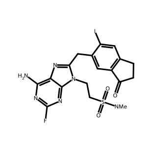 CNS(=O)(=O)CCn1c(Cc2cc3c(cc2I)CCC3=O)nc2c(N)nc(F)nc21